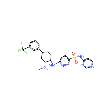 CN(C)C1CC(c2cccc(C(F)(F)F)c2)CCC1Nc1ccc(S(=O)(=O)Nc2ccncn2)cn1